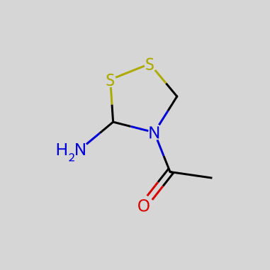 CC(=O)N1CSSC1N